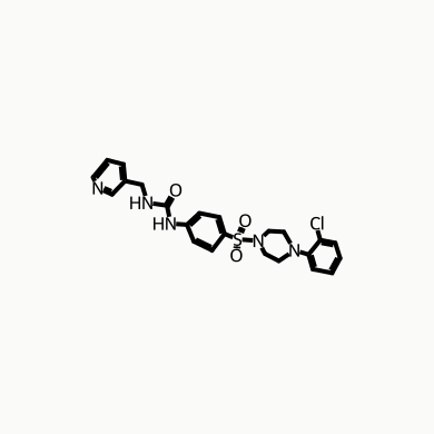 O=C(NCc1cccnc1)Nc1ccc(S(=O)(=O)N2CCN(c3ccccc3Cl)CC2)cc1